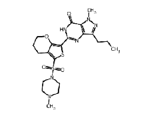 CCCc1nn(C)c2c(=O)[nH]c(-c3sc(S(=O)(=O)N4CCN(C)CC4)c4c3OCCC4)nc12